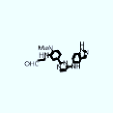 CNc1ccc(-c2nccc(Nc3ccc4[nH]ncc4c3)n2)cc1NCCC=O